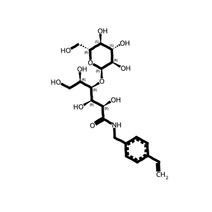 C=Cc1ccc(CNC(=O)[C@H](O)[C@@H](O)[C@H](O[C@H]2O[C@H](CO)[C@@H](O)[C@H](O)[C@H]2O)[C@H](O)CO)cc1